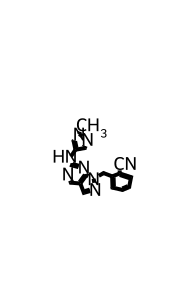 Cn1cc(Nc2ncc3cnn(Cc4ccccc4C#N)c3n2)cn1